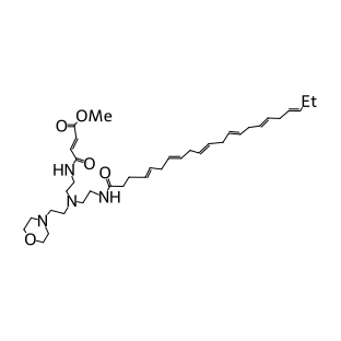 CCC=CCC=CCC=CCC=CCC=CCC=CCCC(=O)NCCN(CCNC(=O)C=CC(=O)OC)CCN1CCOCC1